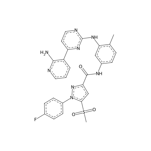 Cc1ccc(NC(=O)c2cc(S(C)(=O)=O)n(-c3ccc(F)cc3)n2)cc1Nc1nccc(-c2cccnc2N)n1